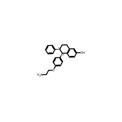 NCCOc1ccc([C@@H]2c3ccc(O)cc3CC[C@@H]2c2ccccc2)cc1